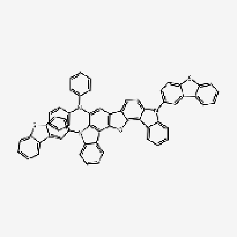 c1ccc(N(c2ccccc2)c2cc3c4ccc5c(c6ccccc6n5-c5ccc6sc7ccccc7c6c5)c4oc3c3c4ccccc4n(-c4ccc5sc6ccccc6c5c4)c23)cc1